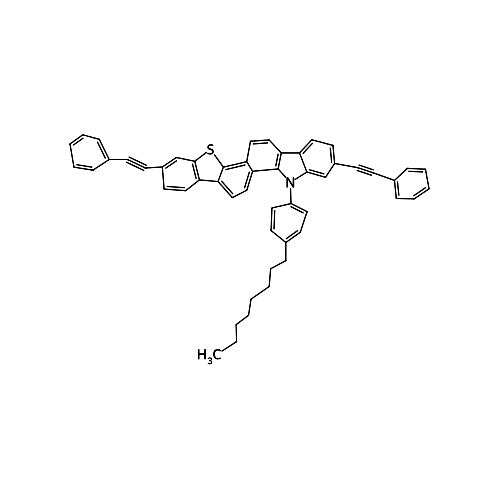 CCCCCCCCc1ccc(-n2c3cc(C#Cc4ccccc4)ccc3c3ccc4c(ccc5c6ccc(C#Cc7ccccc7)cc6sc54)c32)cc1